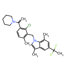 C=C(c1ccc(C)c(Cn2cc(C)c3cc(C(C)(F)F)cc(C)c32)c1Cl)N1CCCCC1